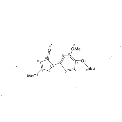 CCCCOc1ccc(N2CC(OC)=CC2=O)cc1OC